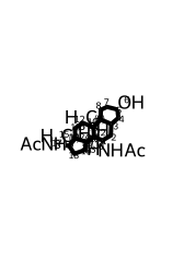 CC(=O)NC1CC2CC(O)CC[C@]2(C)[C@@H]2CC[C@]3(C)C(NC(C)=O)CC[C@H]3[C@H]12